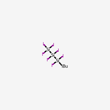 CCC(C)[Si](I)(I)[Si](I)(I)[Si](I)(I)I